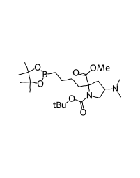 COC(=O)C1(CCCCB2OC(C)(C)C(C)(C)O2)CC(N(C)C)CN1C(=O)OC(C)(C)C